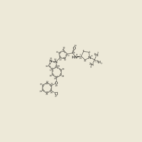 [2H]C([2H])([2H])N1CC[C@H](NC(=O)c2cc(-n3ncc4cc(Oc5ccccc5Cl)ccc43)cs2)C1